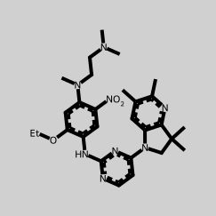 CCOc1cc(N(C)CCN(C)C)c([N+](=O)[O-])cc1Nc1nccc(N2CC(C)(C)c3nc(C)c(C)cc32)n1